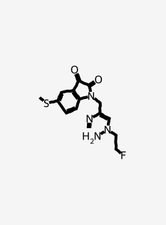 C=N/C(=C\N(N)CCF)CN1C(=O)C(=O)c2cc(SC)ccc21